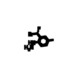 Cc1ccc(NN)c([C@@H](F)Br)c1